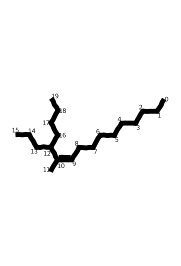 CCCCCCCCCC=C(C)C(CCC)CCCC